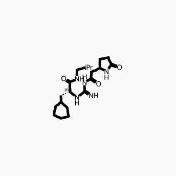 CC(C)CNC(=O)[C@@H](CC1CCCCC1)NC(=N)NC(=O)CC1CCC(=O)N1